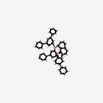 c1ccc(-c2cccc(N(c3cc(-c4ccccc4)cc(-c4ccccc4)c3)c3cccc4ccc5c6cc(-c7ccccc7)ccc6oc5c34)c2)cc1